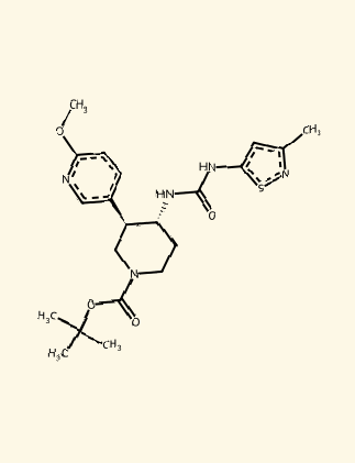 COc1ccc([C@@H]2CN(C(=O)OC(C)(C)C)CC[C@H]2NC(=O)Nc2cc(C)ns2)cn1